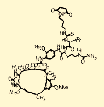 COc1cc(NC(=O)[C@H](CCCNC(N)=O)NC(=O)[C@@H](NC(=S)NCCCCN2C(=O)C=CC2=O)C(C)C)ccc1NC(=O)O[C@H]1CC(=O)N(C)c2cc(cc(OC)c2Cl)C/C(C)=C/C=C/[C@@H](OC)[C@@]2(O)C[C@H](OC(=O)N2)[C@@H](C)[C@@H]2O[C@@]12C